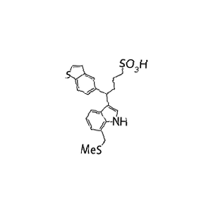 CSCc1cccc2c(C(CCCS(=O)(=O)O)c3ccc4sccc4c3)c[nH]c12